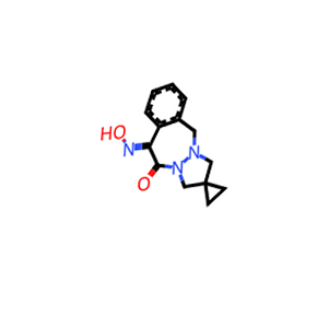 O=C1/C(=N/O)c2ccccc2CN2CC3(CC3)CN12